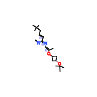 C=NC(/C=C/CC(C)(C)C)=N\C=C(/C)O[C@H]1C[C@H](OC(C)(C)C)C1